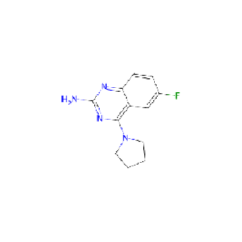 Nc1nc(N2CCCC2)c2cc(F)ccc2n1